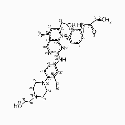 C=CC(=O)Nc1cccc(-n2c(CO)cc(=O)c3cnc(Nc4ccc(N5CCN(CCO)CC5)c(F)c4)nc32)c1